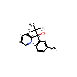 Cc1cccc(C(O)(c2ccccn2)C(C)(C)C)c1